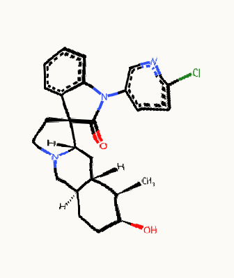 C[C@@H]1[C@H]2C[C@@H]3N(CC[C@@]34C(=O)N(c3ccc(Cl)nc3)c3ccccc34)C[C@@H]2CC[C@@H]1O